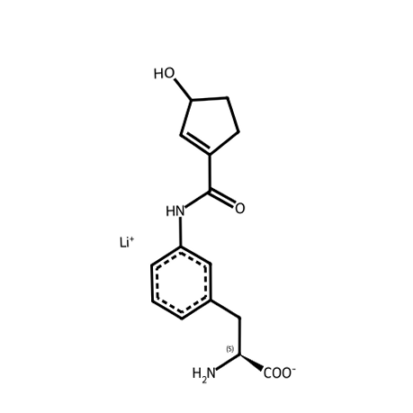 N[C@@H](Cc1cccc(NC(=O)C2=CC(O)CC2)c1)C(=O)[O-].[Li+]